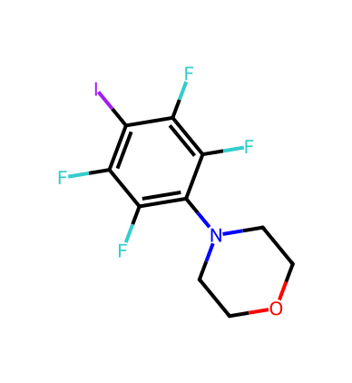 Fc1c(F)c(N2CCOCC2)c(F)c(F)c1I